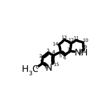 Cc1ccc(C2=CC3NCCCC3CC2)cn1